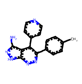 Cc1ccc(-c2nnc3[nH]nc(N)c3c2-c2ccncc2)cc1